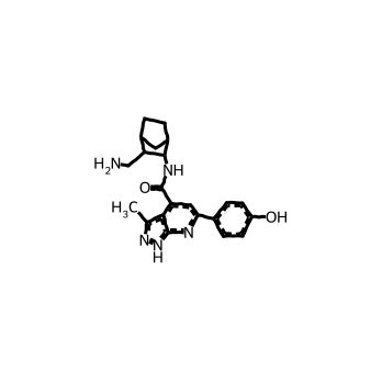 Cc1n[nH]c2nc(-c3ccc(O)cc3)cc(C(=O)NC3C4CCC(C4)C3CN)c12